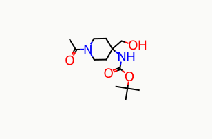 CC(=O)N1CCC(CO)(NC(=O)OC(C)(C)C)CC1